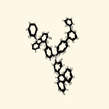 C1=CCC(n2c3ccccc3c3c(-c4cccc(N(c5ccc(-c6cccc(-c7ccccc7)c6)cc5)c5ccc(-c6cc7ccccc7c7ccccc67)cc5)c4)cccc32)C=C1